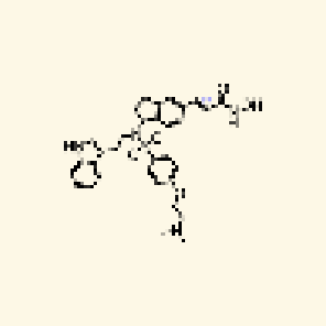 CN(C)CCOc1ccc(S(=O)(=O)N(CCc2c[nH]c3ccccc23)C2CCc3cc(/C=C/C(=O)NO)ccc32)cc1